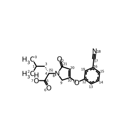 CC(C)C[C@@H](C(=O)O)N1CC(Oc2cccc(C#N)c2)=CC1=O